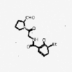 CCC1CC=CC(C(=O)NCC(=O)N2CCC[C@H]2C=O)=C1Cl